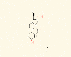 C#C[C@]1(O)[C@@H](O)CC2C3C(CC[C@@]21C)[C@@]1(C)CC[C@H](O)C[C@H]1C[C@H]3O